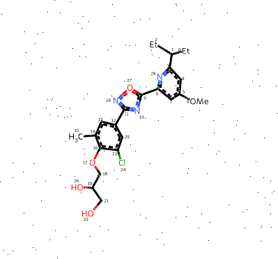 CCC(CC)c1cc(OC)cc(-c2nc(-c3cc(C)c(OCC(O)CO)c(Cl)c3)no2)n1